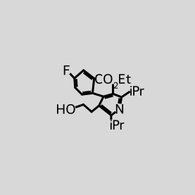 CCOC(=O)c1c(C(C)C)nc(C(C)C)c(CCO)c1-c1ccc(F)cc1